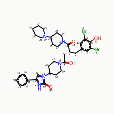 O=C(C[C@@H](Cc1cc(Br)c(O)c(Br)c1)C(=O)N1CCC(N2CCCCC2)CC1)N1CCC(n2cc(-c3ccccc3)[nH]c2=O)CC1